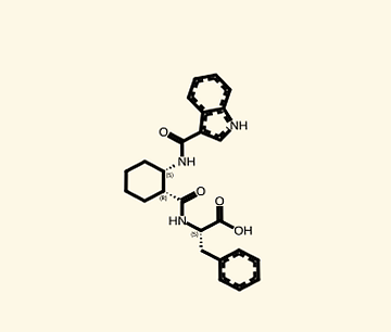 O=C(N[C@H]1CCCC[C@H]1C(=O)N[C@@H](Cc1ccccc1)C(=O)O)c1c[nH]c2ccccc12